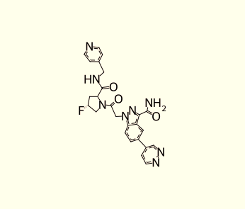 NC(=O)c1nn(CC(=O)N2C[C@H](F)CC2C(=O)NCc2ccncc2)c2ccc(-c3ccnnc3)cc12